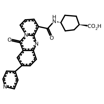 O=C(N[C@H]1CC[C@H](C(=O)O)CC1)c1cccn2c(=O)c3cc(-c4ccncc4)ccc3nc12